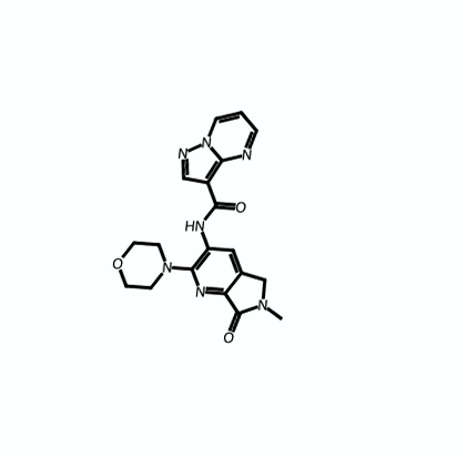 CN1Cc2cc(NC(=O)c3cnn4cccnc34)c(N3CCOCC3)nc2C1=O